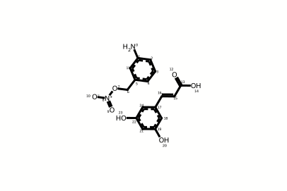 Nc1cccc(CO[N+](=O)[O-])c1.O=C(O)C=Cc1cc(O)cc(O)c1